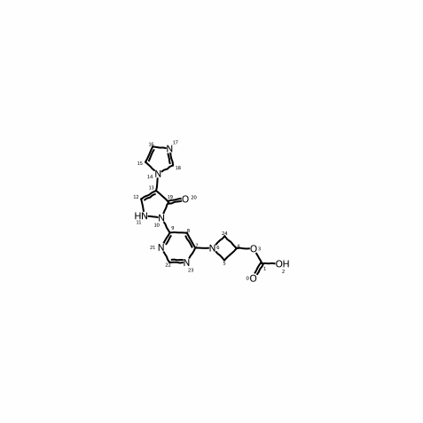 O=C(O)OC1CN(c2cc(-n3[nH]cc(-n4ccnc4)c3=O)ncn2)C1